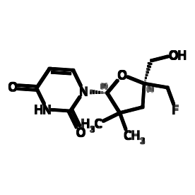 CC1(C)C[C@](CO)(CF)O[C@H]1n1ccc(=O)[nH]c1=O